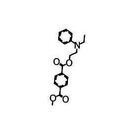 CCN(CCOC(=O)c1ccc(C(=O)OC)cc1)c1ccccc1